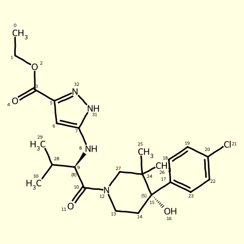 CCOC(=O)c1cc(N[C@@H](C(=O)N2CC[C@](O)(c3ccc(Cl)cc3)C(C)(C)C2)C(C)C)[nH]n1